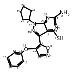 Nc1nc(S)c2c(-c3oncc3Oc3ccccc3)nn(C3CCCC3)c2n1